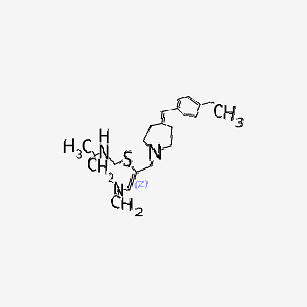 C=N/C=C(/CN1CCC(=Cc2ccc(CC)cc2)CC1)SCNC(=C)C